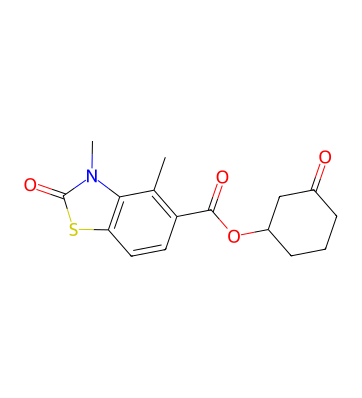 Cc1c(C(=O)OC2CCCC(=O)C2)ccc2sc(=O)n(C)c12